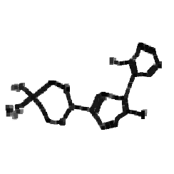 CC1(C)COB(c2ccc(F)c(-c3cnccc3F)c2)OC1